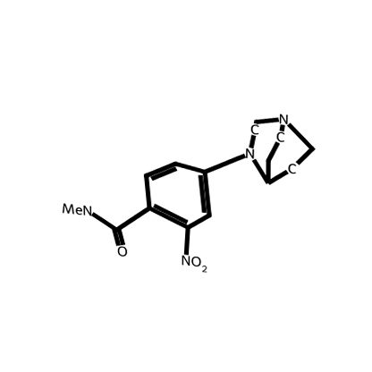 CNC(=O)c1ccc(N2CCN3CCC2CC3)cc1[N+](=O)[O-]